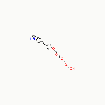 CNc1ccc(/C=C/c2ccc(OCCOCCOCCOCCO)cc2)cc1